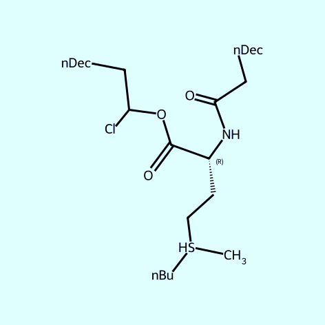 CCCCCCCCCCCC(=O)N[C@H](CC[SH](C)CCCC)C(=O)OC(Cl)CCCCCCCCCCC